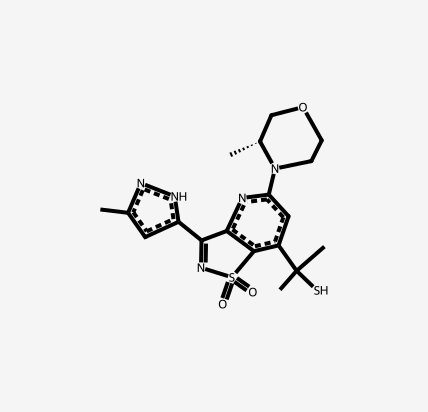 Cc1cc(C2=NS(=O)(=O)c3c(C(C)(C)S)cc(N4CCOC[C@H]4C)nc32)[nH]n1